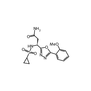 COc1ccccc1-c1nnc([C@H](CC(N)=O)NS(=O)(=O)C2CC2)o1